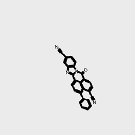 N#Cc1ccc2c(c1)nc1c3ccc(-c4ccccc4)c4c(C#N)ccc(c(=O)n21)c43